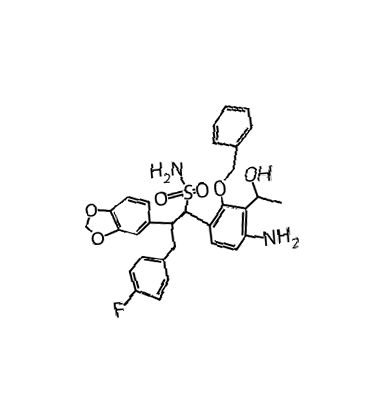 CC(O)c1c(N)ccc(C(C(Cc2ccc(F)cc2)c2ccc3c(c2)OCO3)S(N)(=O)=O)c1OCc1ccccc1